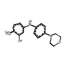 Oc1ccc(Nc2ccc(N3CCOCC3)cc2)cc1O